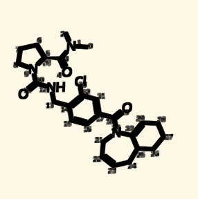 CN(C)C(=O)[C@@H]1CCCN1C(=O)NCc1ccc(C(=O)N2CC=CCC3CCCC=C32)cc1Cl